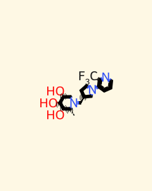 C[C@@H]1[C@@H](O)[C@H](O)[C@@H](O)CN1C[C@H]1CCN(c2cccnc2C(F)(F)F)C1